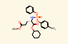 CCCCOC(=O)CC[C@H](NP(=O)(Oc1ccccc1)Oc1ccc([N+](=O)[O-])cc1)C(=O)OC1CCCCC1